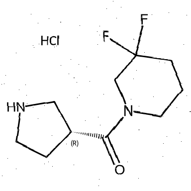 Cl.O=C([C@@H]1CCNC1)N1CCCC(F)(F)C1